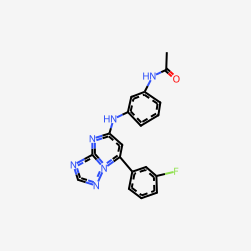 CC(=O)Nc1cccc(Nc2cc(-c3cccc(F)c3)n3ncnc3n2)c1